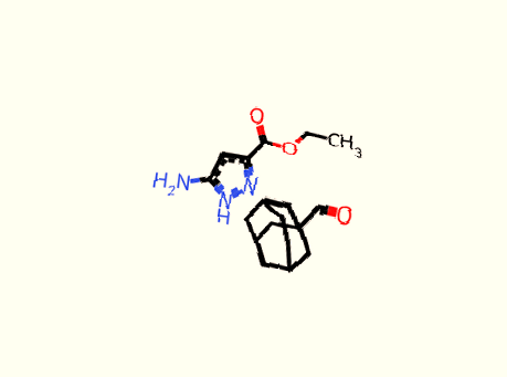 CCOC(=O)c1cc(N)[nH]n1.O=CC12CC3CC(CC(C3)C1)C2